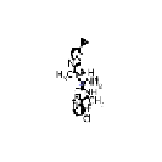 CC(NC(=O)/C(N)=C/N(N)C(C)c1cn2cc(C3CC3)ccc2n1)c1ncn2ccc(Cl)c(F)c12